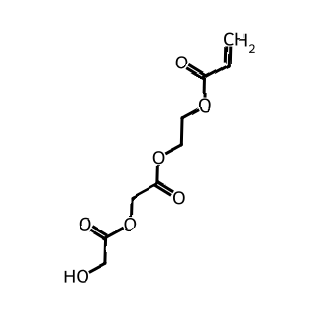 C=CC(=O)OCCOC(=O)COC(=O)CO